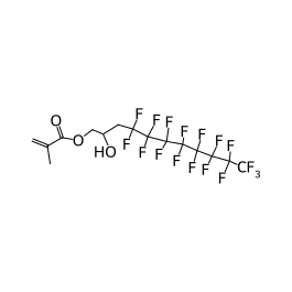 C=C(C)C(=O)OCC(O)CC(F)(F)C(F)(F)C(F)(F)C(F)(F)C(F)(F)C(F)(F)C(F)(F)C(F)(F)F